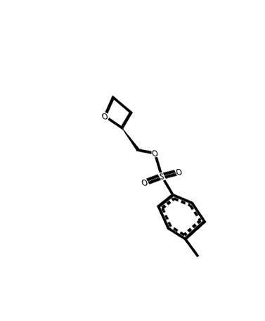 Cc1ccc(S(=O)(=O)OC[C@@H]2CCO2)cc1